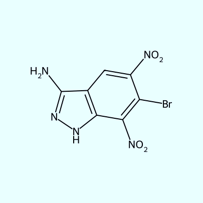 Nc1n[nH]c2c([N+](=O)[O-])c(Br)c([N+](=O)[O-])cc12